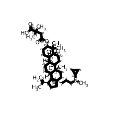 C=C(C)[C@@H]1CC[C@]2(CCCN(C)C3CC3)CC[C@]3(C)[C@H](CC[C@@H]4[C@@]5(C)CC[C@H](OC(=O)CC(C)(C)C(=O)O)C(C)(C)[C@@H]5CC[C@]43C)[C@@H]12